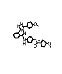 COc1ccc(C(=O)Nc2ccc(Nc3nn4c(-c5ccc(OC)cc5)nnc4c4ccccc34)cc2)cc1